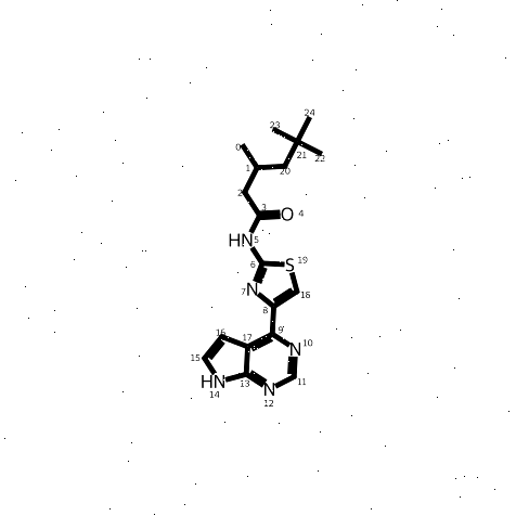 CC(CC(=O)Nc1nc(-c2ncnc3[nH]ccc23)cs1)CC(C)(C)C